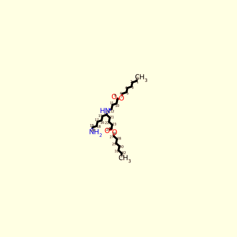 CCCCCCCOC(=O)CCCNC(CCCCCN)CCCC(=O)OCCCCCCC